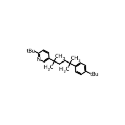 CC(C)(C)c1ccc(C(C)(C)CCC(C)(C)c2ccc(C(C)(C)C)nc2)cc1